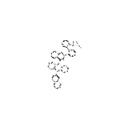 CC1(C)c2ccccc2-c2c(-c3nc(-c4c5ccccc5c(-c5ccc6ccccc6c5)c5ccccc45)c4ccccc4n3)cccc21